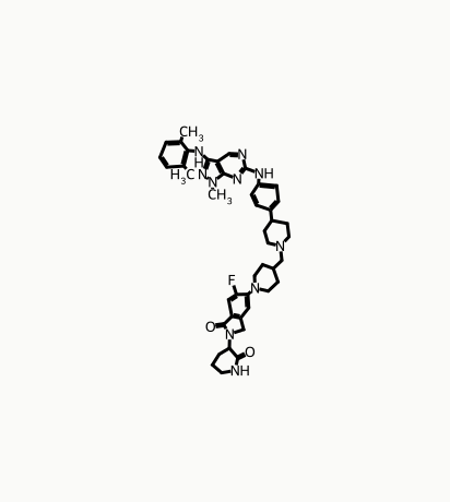 Cc1cccc(C)c1Nc1nn(C)c2nc(Nc3ccc(C4CCN(CC5CCN(c6cc7c(cc6F)C(=O)N(C6CCCNC6=O)C7)CC5)CC4)cc3)ncc12